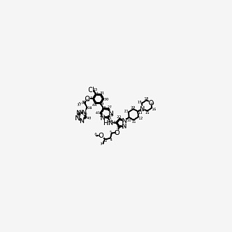 COC(C)CCOc1nn(C2CCC(N3CCOCC3)CC2)cc1Nc1ncc(-c2ccc(Cl)c(O[C@@H](C)Cn3cnnn3)c2)cn1